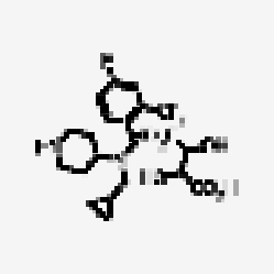 Fc1ccc(CN(CC2CC2)C2CCNCC2)c(C(F)(F)F)c1.O=C(O)C(O)C(O)C(=O)O